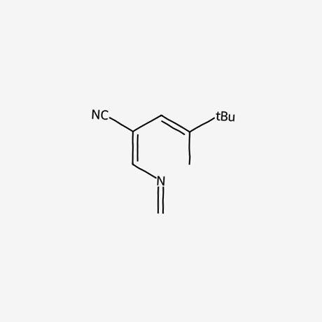 C=N/C=C(C#N)\C=C(/C)C(C)(C)C